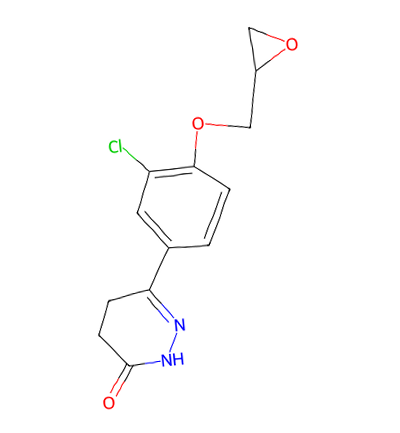 O=C1CCC(c2ccc(OCC3CO3)c(Cl)c2)=NN1